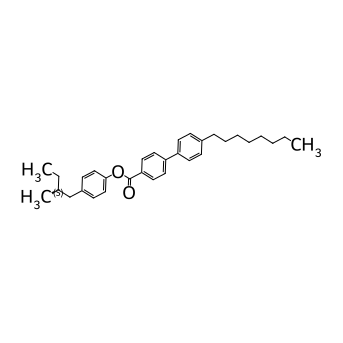 CCCCCCCCc1ccc(-c2ccc(C(=O)Oc3ccc(C[C@@H](C)CC)cc3)cc2)cc1